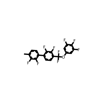 Cc1ccc(-c2ccc(C(F)(F)Oc3cc(F)c(F)c(F)c3)c(F)c2F)c(F)c1F